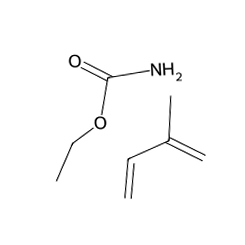 C=CC(=C)C.CCOC(N)=O